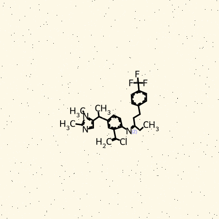 C=C(Cl)c1cc(C(C)c2cnc(C)n2C)ccc1/N=C(/CC)CCc1ccc(C(F)(F)F)cc1